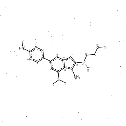 CNc1ncc(-c2cc(C(C)C)c3c(N)c([S@@+]([O-])CCOC)sc3n2)cn1